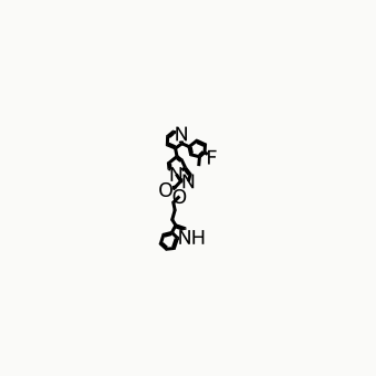 Cc1cc(-c2ncccc2-c2ccn3c(C(=O)OCCCc4c[nH]c5ccccc45)ncc3c2)ccc1F